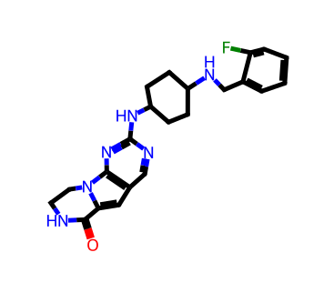 O=C1NCCn2c1cc1cnc(NC3CCC(NCc4ccccc4F)CC3)nc12